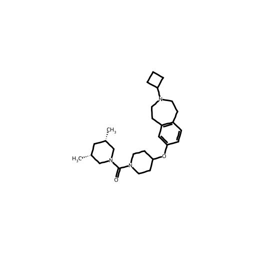 C[C@@H]1C[C@H](C)CN(C(=O)N2CCC(Oc3ccc4c(c3)CCN(C3CCC3)CC4)CC2)C1